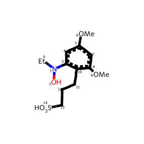 CCN(O)c1cc(OC)cc(OC)c1CCCS(=O)(=O)O